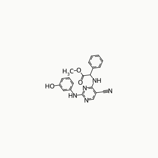 COC(=O)C(Nc1nc(Nc2cccc(O)c2)ncc1C#N)c1ccccc1